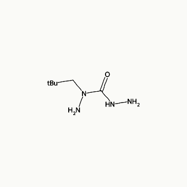 CC(C)(C)CN(N)C(=O)NN